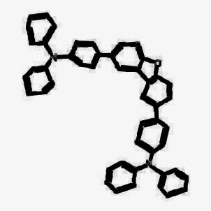 c1ccc(N(c2ccccc2)c2ccc(-c3ccc4oc5ccc(-c6ccc(N(c7ccccc7)c7ccccc7)cc6)cc5c4c3)cc2)cc1